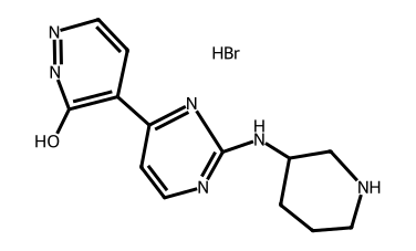 Br.Oc1nnccc1-c1ccnc(NC2CCCNC2)n1